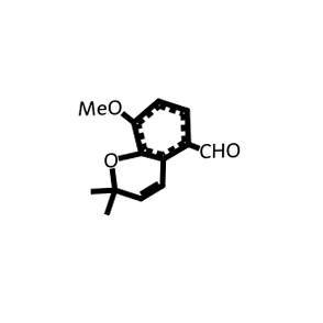 COc1ccc(C=O)c2c1OC(C)(C)C=C2